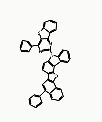 c1ccc(-c2cc3c4ccc5c(c6ccccc6n5-c5nc(-c6ccccc6)c6sc7ccccc7c6n5)c4oc3c3ccccc23)cc1